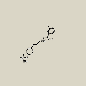 CC(C)(C)[Si](C)(C)OC1CCC(CCCNCC(O)c2cccc(F)c2)CC1